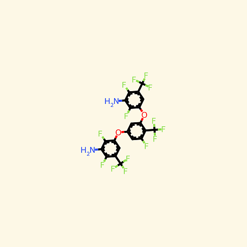 Nc1c(F)c(Oc2cc(F)c(C(F)(F)F)c(Oc3cc(C(F)(F)F)c(F)c(N)c3F)c2)cc(C(F)(F)F)c1F